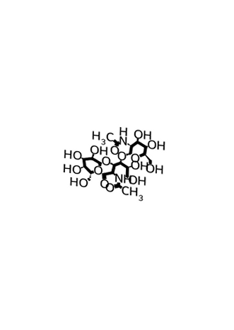 CC(=O)N[C@H]1[C@H](O[C@H]([C@H](O[C@@H]2O[C@H](CO)[C@H](O)[C@H](O)[C@H]2O)[C@H](C=O)NC(C)=O)[C@H](O)CO)O[C@H](CO)[C@@H](O)[C@@H]1O